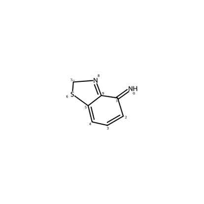 N=C1C=CC=C2S[C]N=C12